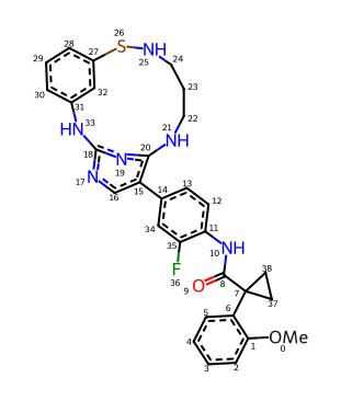 COc1ccccc1C1(C(=O)Nc2ccc(-c3cnc4nc3NCCCNSc3cccc(c3)N4)cc2F)CC1